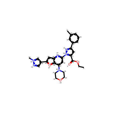 CCOC(=O)c1cc(-c2cccc(C)c2)nn1-c1cc(N2CCOCC2)c2oc(-c3cnn(C)c3)cc2n1